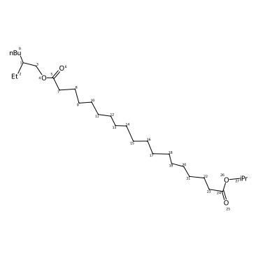 CCCCC(CC)COC(=O)CCCCCCCCCCCCCCCCCC(=O)OC(C)C